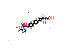 CC(O)c1nccn1C(/C=C/c1ccc(-c2ccc(C3CC(C(=O)NCCO)C3)cc2)cc1)CO